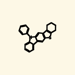 c1ccc(-n2c3ccccc3c3cc4sc5c(c4cc32)CCCC5)cc1